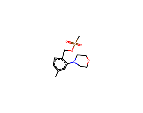 Cc1ccc(COS(C)(=O)=O)c(N2CCOCC2)c1